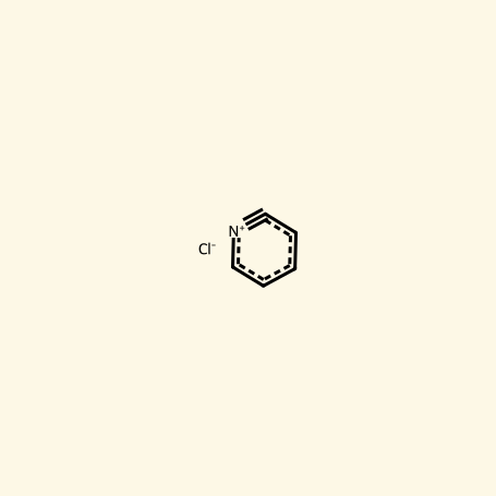 [Cl-].c1cccc[n+]#1